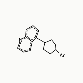 CC(=O)C1CCC(c2cccc3ncccc23)CC1